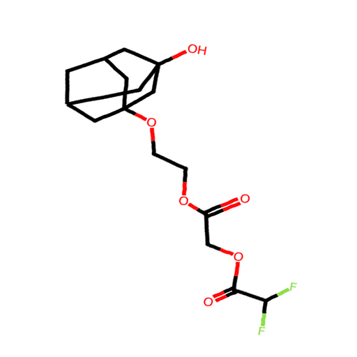 O=C(COC(=O)C(F)F)OCCOC12CC3CC(CC(O)(C3)C1)C2